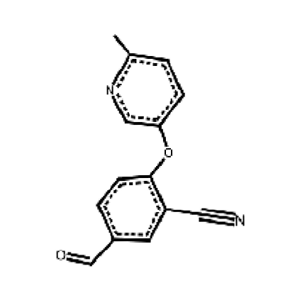 Cc1ccc(Oc2ccc(C=O)cc2C#N)cn1